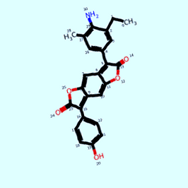 CCc1cc(C2=c3cc4c(cc3OC2=O)=C(c2ccc(O)cc2)C(=O)O4)cc(C)c1N